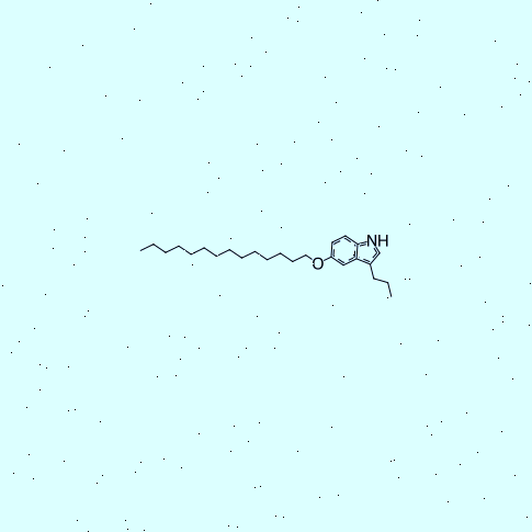 CCCCCCCCCCCCCCOc1ccc2[nH]cc(CCC)c2c1